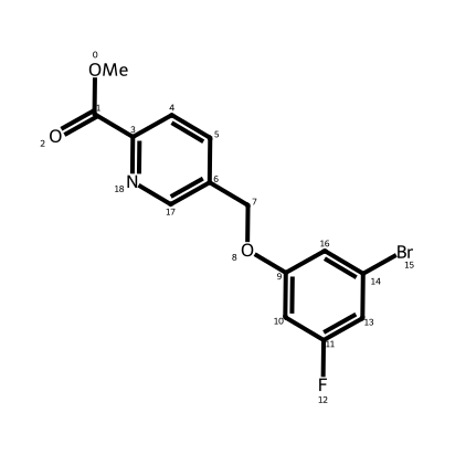 COC(=O)c1ccc(COc2cc(F)cc(Br)c2)cn1